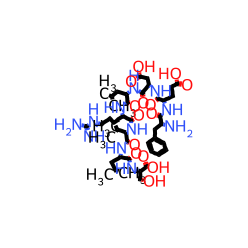 CC(C)CC(NC(=O)C(CC(=O)O)NC(=O)C(CCC(=O)O)NC(=O)C(N)Cc1ccccc1)C(=O)NC(CCCNC(=N)N)C(=O)NC(C(=O)NC(CC(C)C)C(=O)NC(CO)C(=O)O)C(C)C